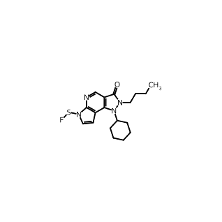 CCCCn1c(=O)c2cnc3c(ccn3SF)c2n1C1CCCCC1